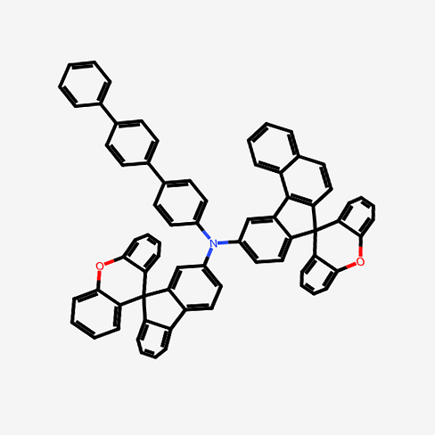 c1ccc(-c2ccc(-c3ccc(N(c4ccc5c(c4)-c4c(ccc6ccccc46)C54c5ccccc5Oc5ccccc54)c4ccc5c(c4)C4(c6ccccc6Oc6ccccc64)c4ccccc4-5)cc3)cc2)cc1